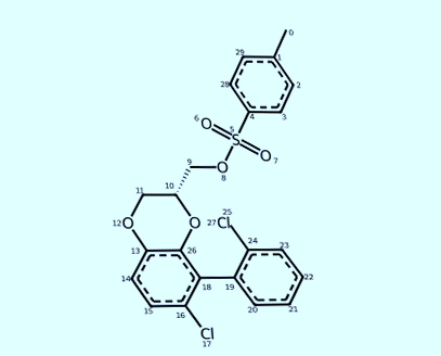 Cc1ccc(S(=O)(=O)OC[C@H]2COc3ccc(Cl)c(-c4ccccc4Cl)c3O2)cc1